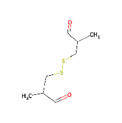 CC(C=O)CSSCC(C)C=O